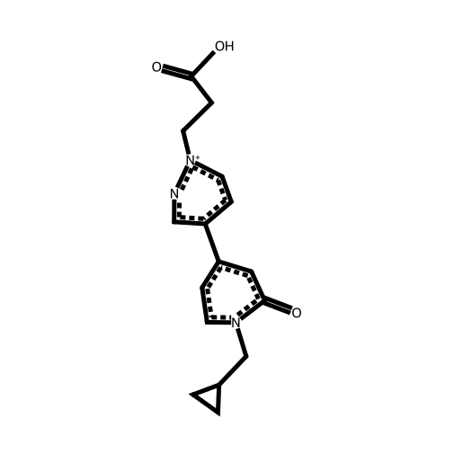 O=C(O)CC[n+]1ccc(-c2ccn(CC3CC3)c(=O)c2)cn1